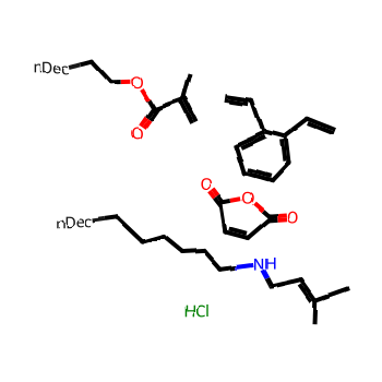 C=C(C)C(=O)OCCCCCCCCCCCC.C=Cc1ccccc1C=C.CCCCCCCCCCCCCCCCNCC=C(C)C.Cl.O=C1C=CC(=O)O1